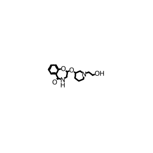 O=C1NCC(OC2CCCN(CCO)C2)Oc2ccccc21